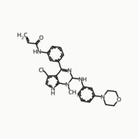 C=CC(=O)Nc1cccc(C2=NC(Nc3cccc(N4CCOCC4)c3)N(C)c3[nH]cc(Cl)c32)c1